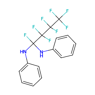 FC(F)(F)C(F)(F)C(F)(F)C(F)(Nc1ccccc1)Nc1ccccc1